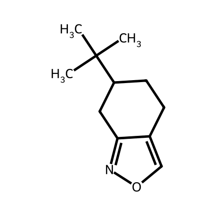 CC(C)(C)C1CCc2conc2C1